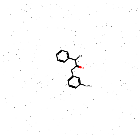 CCC(C(=O)Cc1cccc(OC)c1)c1ccccc1